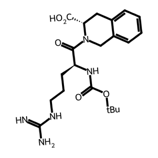 CC(C)(C)OC(=O)N[C@@H](CCCNC(=N)N)C(=O)N1Cc2ccccc2C[C@H]1C(=O)O